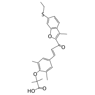 CCSc1ccc2c(C)c(C(=O)C=Cc3cc(C)c(OC(C)(C)C(=O)O)c(C)c3)oc2c1